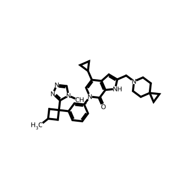 CC1CC(c2cccc(-n3cc(C4CC4)c4cc(CN5CCC6(CC5)CC6)[nH]c4c3=O)c2)(c2nncn2C)C1